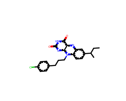 CCC(C)c1ccc2c(c1)nc1c(=O)[nH]c(=O)nc-1n2CCCc1ccc(Cl)cc1